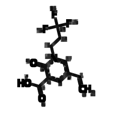 C=Cc1cc(C(=O)O)c(=O)n(CCC(F)(F)F)c1